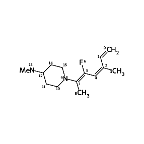 C=C/C(C)=C\C(F)=C(/C)N1CCC(NC)CC1